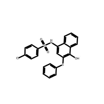 O=S(=O)(Nc1cc(Sc2ccccc2)c(O)c2ccccc12)c1ccc(Cl)cc1